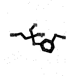 CCOc1cccc(OC(CCC=O)(OCC)C(=O)O)c1